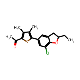 CCC1Cc2cc(-c3sc(C(C)=O)c(C)c3C)cc(Cl)c2O1